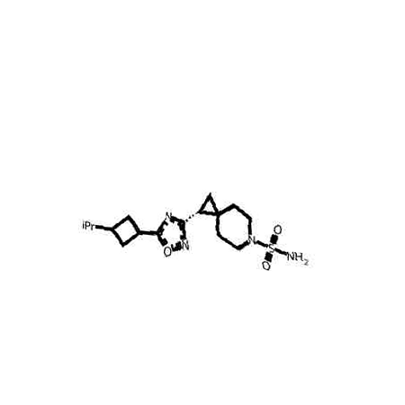 CC(C)C1CC(c2nc([C@@H]3CC34CCN(S(N)(=O)=O)CC4)no2)C1